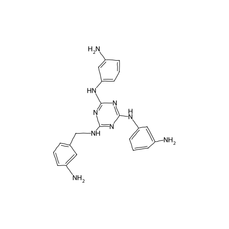 Nc1cccc(CNc2nc(Nc3cccc(N)c3)nc(Nc3cccc(N)c3)n2)c1